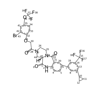 O=C1Nc2ccc(-c3cc(C4CC4)cc(C(F)(F)F)c3)cc2C(=O)N2CCN(C(=O)COc3ccc(OC(F)(F)F)cc3Br)C[C@@H]12